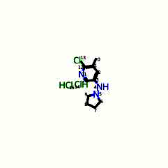 Cc1cc(NN2CCCC2)cnc1Cl.Cl.Cl